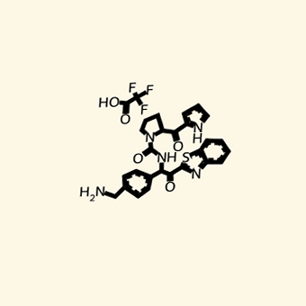 NCc1ccc(C(NC(=O)N2CCCC2C(=O)c2ccc[nH]2)C(=O)c2nc3ccccc3s2)cc1.O=C(O)C(F)(F)F